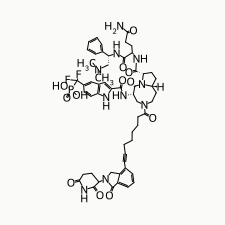 CN(C)C[C@@H](NC(=O)C(CCC(N)=O)NC(=O)[C@@H]1CC[C@@H]2CCN(C(=O)CCCCCC#Cc3cccc4c3CN(C3CCC(=O)NC3=O)C4=O)C[C@H](NC(=O)c3cc4cc(C(F)(F)P(=O)(O)O)ccc4[nH]3)C(=O)N21)c1ccccc1